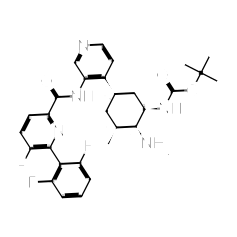 C[C@H]1C[C@@H](c2ccncc2NC(=O)c2ccc(F)c(-c3c(F)cccc3F)n2)C[C@@H](NC(=O)OC(C)(C)C)[C@H]1N